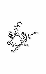 NCCCC[C@H](NC(=O)[C@@H]1CCCN1C(=O)[C@@H]1CSSC[C@H](NC(=O)CNC(=O)CNC(=O)CN)C(=O)N[C@H](Cc2ccc(O)cc2)C(=O)N[C@@H](Cc2ccccc2)C(=O)N[C@@H](CCC(N)=O)C(=O)N[C@@H](CC(N)=O)C(=O)N1)C(=O)NCC(N)=O